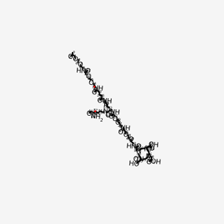 CC(=O)COCCOCCNC(=O)COCCOCCNC(=O)CCCC(=O)NCCCC[C@H](NC(=O)COCOCCNC(=O)COCCOCCNC(=O)CN1CCN(CC(=O)O)CCN(CC(=O)O)CCN(CC(=O)O)CC1)C(=O)NCCCC[C@H](N)C=O